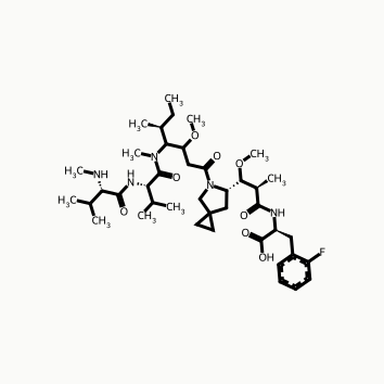 CC[C@H](C)C(C(CC(=O)N1CC2(CC2)C[C@H]1C(OC)[C@@H](C)C(=O)N[C@@H](Cc1ccccc1F)C(=O)O)OC)N(C)C(=O)[C@@H](NC(=O)[C@@H](NC)C(C)C)C(C)C